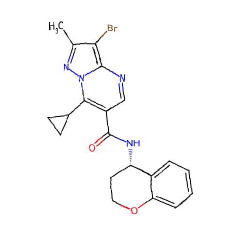 Cc1nn2c(C3CC3)c(C(=O)N[C@H]3CCOc4ccccc43)cnc2c1Br